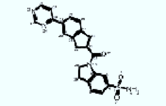 NS(=O)(=O)c1ccc2c(c1)N(C(=O)C1Cc3ccc(-c4ccncn4)cc3C1)CC2